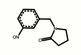 O=Nc1cccc(CN2CCCC2=O)c1